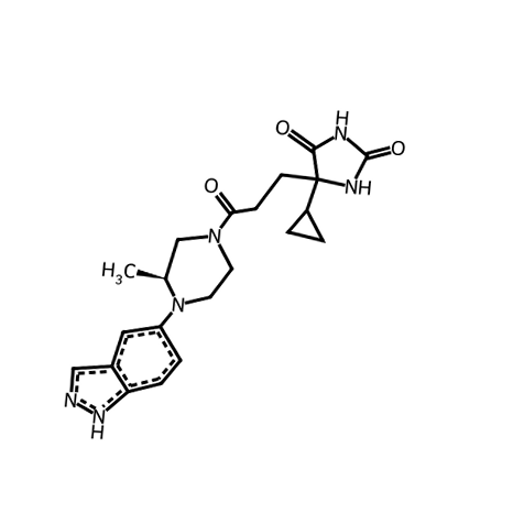 C[C@H]1CN(C(=O)CCC2(C3CC3)NC(=O)NC2=O)CCN1c1ccc2[nH]ncc2c1